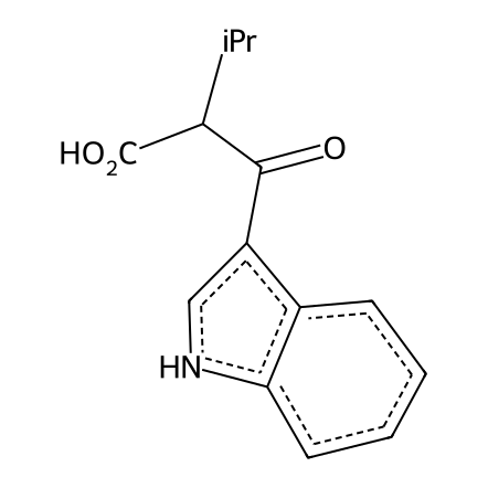 CC(C)C(C(=O)O)C(=O)c1c[nH]c2ccccc12